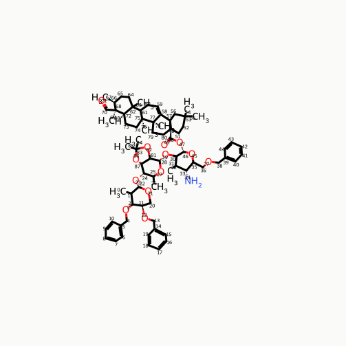 CC1C(OCc2ccccc2)[C@H](OCc2ccccc2)CO[C@H]1O[C@H]1C(C)O[C@@H](OC2C(C)[C@@H](N)C(COCc3ccccc3)O[C@H]2OC(=O)[C@]23CCC(C)(C)CC2C2=CCC4C5(C)CC[C@H](C)[C@](C)(C=O)[C@@H]5CC[C@]4(C)[C@]2(C)CC3)C2OC(C)(C)OC21